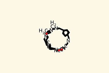 C=C1/N=C\c2ccc(cc2)/C=N\CCN2CC/N=C/c3ccc(cc3)/C=N/CCN1C(=C)/N=C/c1ccc(cc1)/C=N/CC2